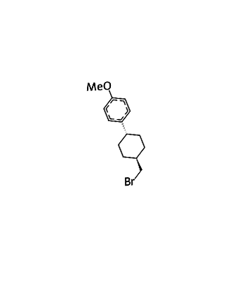 COc1ccc([C@H]2CC[C@H](CBr)CC2)cc1